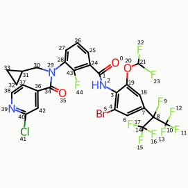 O=C(Nc1c(Br)cc(C(F)(C(F)(F)F)C(F)(F)F)cc1OC(F)F)c1cccc(N(CC2CC2)C(=O)c2ccnc(Cl)c2)c1F